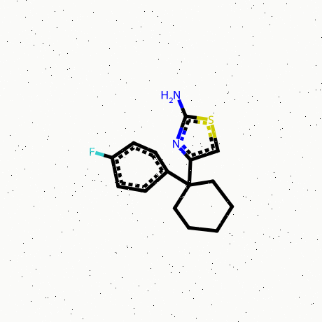 Nc1nc(C2(c3ccc(F)cc3)CCCCC2)cs1